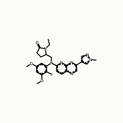 CCN1C(=O)CCC1CN(c1ccc2ncc(-c3cnn(C)c3)nc2n1)c1cc(OC)cc(OC)c1F